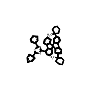 CC1(c2ccc3c(c2)C2(c4cc(C5(C)CCCCC5)ccc4-3)c3ccccc3-c3c(-c4nc(-c5ccccc5)nc(-c5ccccc5)n4)cccc32)CCCCC1